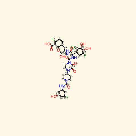 O=C(O)c1c(F)ccc2c1OB(O)[C@@H](NC(=O)C(NC(=O)N1CCN(C3CCN(C(=O)Nc4cc(O)cc(F)c4)CC3)C(=O)C1=O)c1cc(F)c(O)c(O)c1Cl)C2